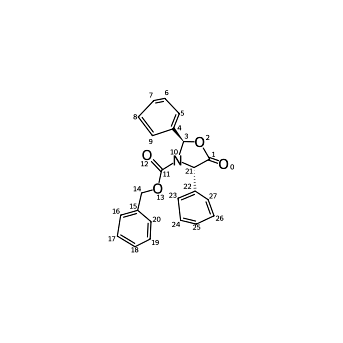 O=C1O[C@H](c2ccccc2)N(C(=O)OCc2ccccc2)[C@H]1c1ccccc1